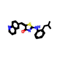 CC(C)Cc1ccccc1NC1=NC(=O)C(=Cc2ccc3ncccc3c2)S1